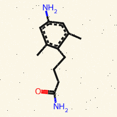 Cc1cc(N)cc(C)c1C[CH]CC(N)=O